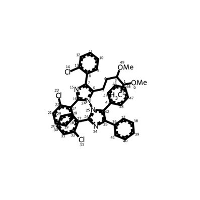 COC(C)C(CCc1c(-c2ccccc2Cl)nc(-c2ccccc2Cl)n1-n1c(-c2ccccc2Cl)nc(-c2ccccc2)c1-c1ccccc1)OC